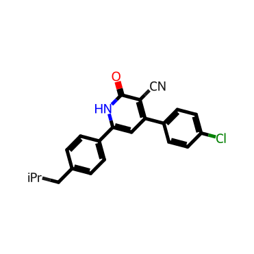 CC(C)Cc1ccc(-c2cc(-c3ccc(Cl)cc3)c(C#N)c(=O)[nH]2)cc1